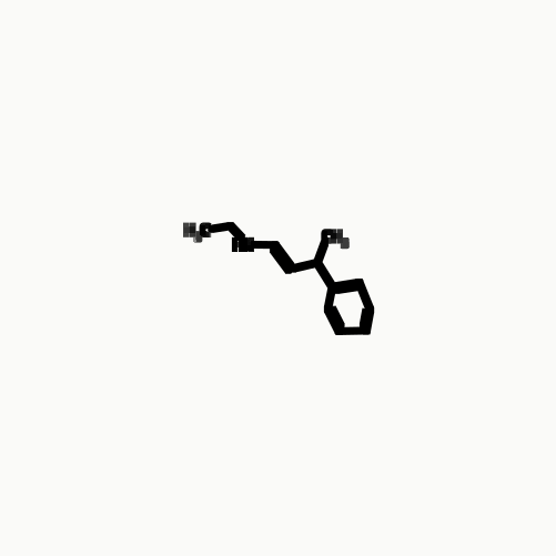 CCNC=CC(C)c1ccccc1